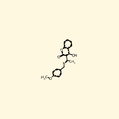 COc1ccc(C/N=C(\C)c2c(O)c3ccccc3oc2=O)cc1